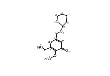 CCCCOc1c(CO)oc(COC2CCCCO2)cc1=O